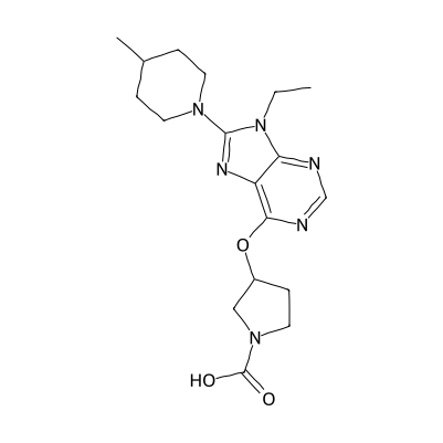 CCn1c(N2CCC(C)CC2)nc2c(OC3CCN(C(=O)O)C3)ncnc21